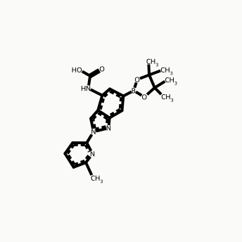 Cc1cccc(-n2cc3c(NC(=O)O)cc(B4OC(C)(C)C(C)(C)O4)cc3n2)n1